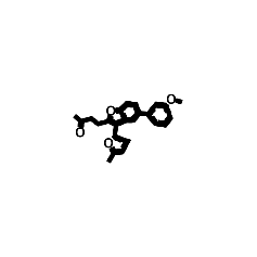 COc1cccc(-c2ccc3oc(CCC(C)=O)c(-c4ccc(C)o4)c3c2)c1